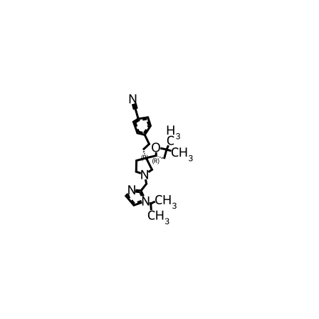 CC(C)n1ccnc1CN1CC[C@@](CCc2ccc(C#N)cc2)([C@H]2CC(C)(C)O2)C1